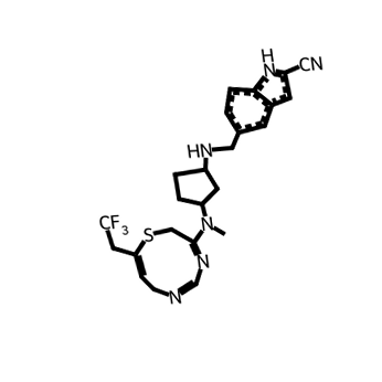 CN(/C1=N/C=N\C/C=C(/CC(F)(F)F)SC1)C1CCC(NCc2ccc3[nH]c(C#N)cc3c2)C1